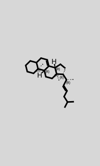 CC(C)CC=C[C@@H](C)[C@H]1CC[C@H]2C3=CCC4CCCC[C@]4(C)[C@H]3CC[C@]12C